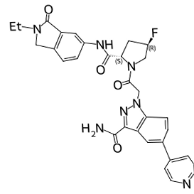 CCN1Cc2ccc(NC(=O)[C@@H]3C[C@@H](F)CN3C(=O)Cn3nc(C(N)=O)c4cc(-c5ccnnc5)ccc43)cc2C1=O